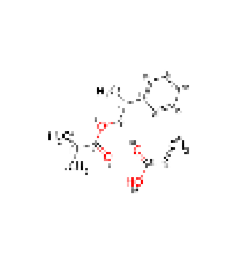 C=C(C)C(=O)OCC(C)c1ccccc1.C=CC(=O)O